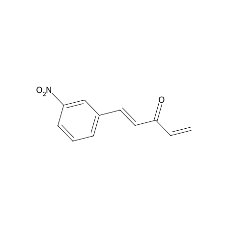 C=CC(=O)C=Cc1cccc([N+](=O)[O-])c1